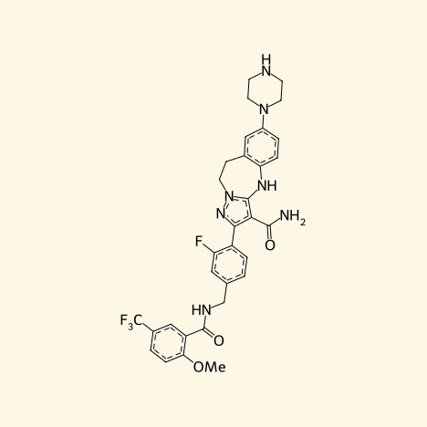 COc1ccc(C(F)(F)F)cc1C(=O)NCc1ccc(-c2nn3c(c2C(N)=O)Nc2ccc(N4CCNCC4)cc2CC3)c(F)c1